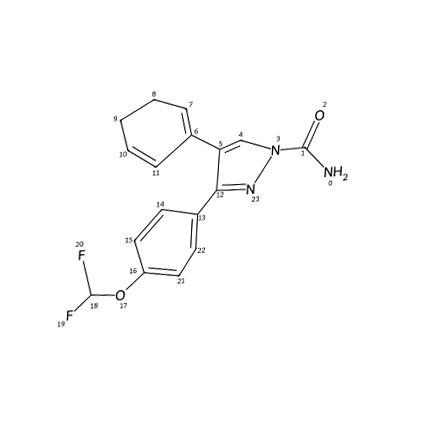 NC(=O)n1cc(C2=CCCC=C2)c(-c2ccc(OC(F)F)cc2)n1